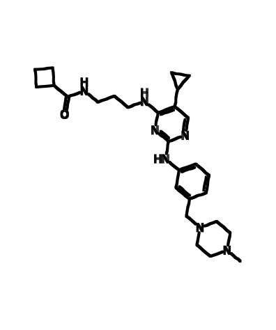 CN1CCN(Cc2cccc(Nc3ncc(C4CC4)c(NCCCNC(=O)C4CCC4)n3)c2)CC1